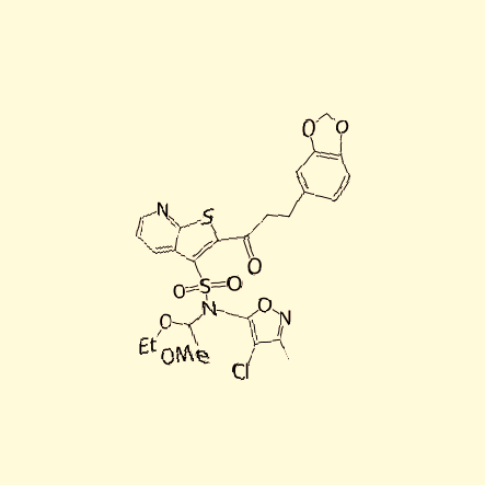 CCOC(OC)N(c1onc(C)c1Cl)S(=O)(=O)c1c(C(=O)CCc2ccc3c(c2)OCO3)sc2ncccc12